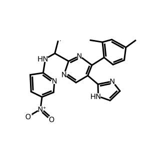 [CH2]C(Nc1ccc([N+](=O)[O-])cn1)c1ncc(-c2ncc[nH]2)c(-c2ccc(C)cc2C)n1